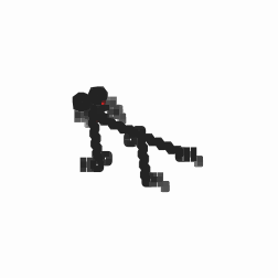 CCCCCCCCC(CCCCCCCC)OC(=O)CCCCCCCC(CCCCCCCC(=O)O)O[Si](c1ccccc1)(c1ccccc1)C(C)(C)C